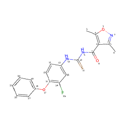 Cc1noc(C)c1C(=O)NC(=S)Nc1ccc(Oc2ccccc2)c(F)c1